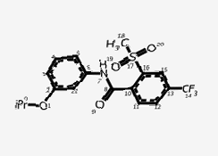 CC(C)Oc1cccc(NC(=O)c2ccc(C(F)(F)F)cc2S(C)(=O)=O)c1